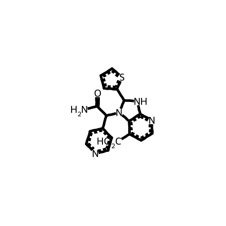 NC(=O)C(c1ccncc1)N1c2c(C(=O)O)ccnc2NC1c1cccs1